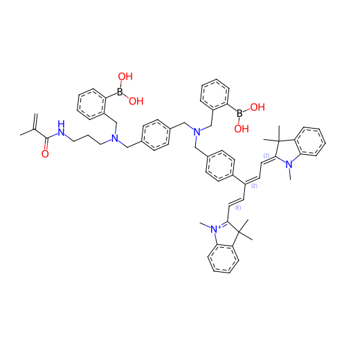 C=C(C)C(=O)NCCCN(Cc1ccc(CN(Cc2ccc(C(=C\C=C3/N(C)c4ccccc4C3(C)C)/C=C/C3=[N+](C)c4ccccc4C3(C)C)cc2)Cc2ccccc2B(O)O)cc1)Cc1ccccc1B(O)O